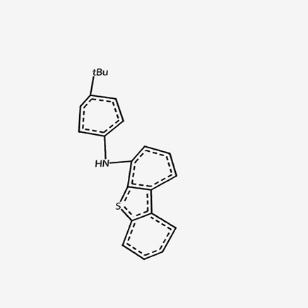 CC(C)(C)c1ccc(Nc2cccc3c2sc2ccccc23)cc1